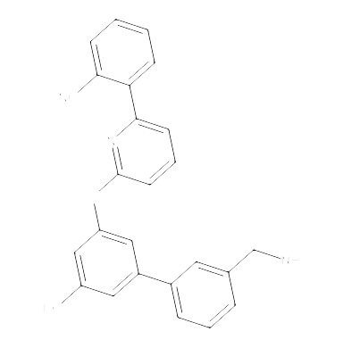 Cc1cc(Oc2cccc(-c3ccccc3C#N)n2)cc(-c2cccc(CN)c2)c1